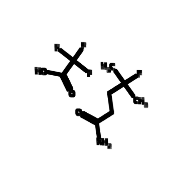 CC(C)(F)CCC(N)=O.O=C(O)C(F)(F)F